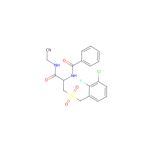 N#CCNC(=O)C(CS(=O)(=O)Cc1cccc(Cl)c1F)NC(=O)c1ccccc1